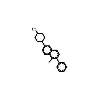 CCC1CCC(c2ccc3c(F)c(-c4ccccc4)ccc3c2)CC1